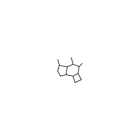 CC1CCC2C3CCC3C(C)C(C)C12